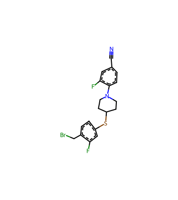 N#Cc1ccc(N2CCC(Sc3ccc(CBr)c(F)c3)CC2)c(F)c1